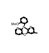 COc1ccccc1N1c2ncccc2Oc2cc(C)cnc21